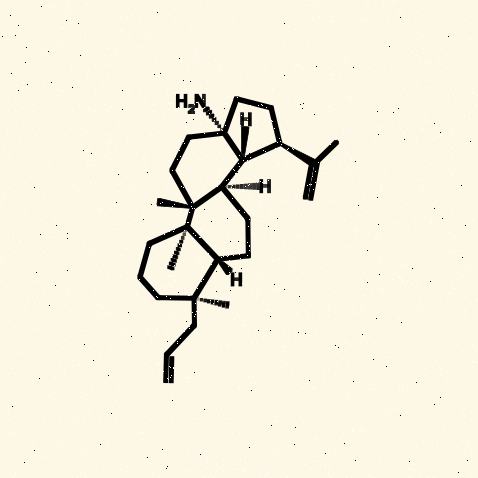 C=CC[C@@]1(C)CCC[C@]2(C)[C@@H]1CC[C@@H]1[C@H]3[C@H](C(=C)C)CC[C@]3(N)CC[C@]12C